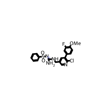 COc1ccc(-c2cc(CN/C(N)=N/S(=O)(=O)c3ccccc3)cnc2Cl)cc1F